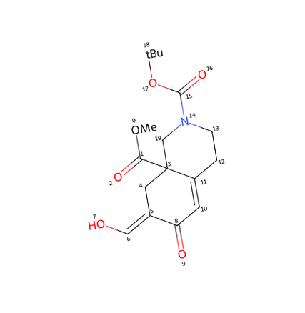 COC(=O)C12CC(=CO)C(=O)C=C1CCN(C(=O)OC(C)(C)C)C2